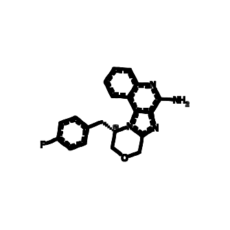 Nc1nc2ccccc2c2c1nc1n2[C@@H](Cc2ccc(F)cc2)COC1